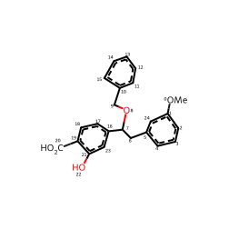 COc1cccc(CC(OCc2ccccc2)c2ccc(C(=O)O)c(O)c2)c1